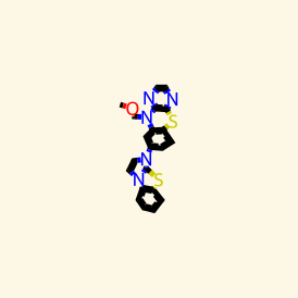 COCN1c2cc(N3C=CN4c5ccccc5SC34)ccc2Sc2nccnc21